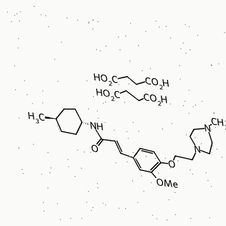 COc1cc(C=CC(=O)N[C@H]2CC[C@H](C)CC2)ccc1OCCN1CCN(C)CC1.O=C(O)CCC(=O)O.O=C(O)CCC(=O)O